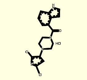 Cl.O=C(c1cccc2[nH]ccc12)N1CCN(c2cc(Cl)sc2Cl)CC1